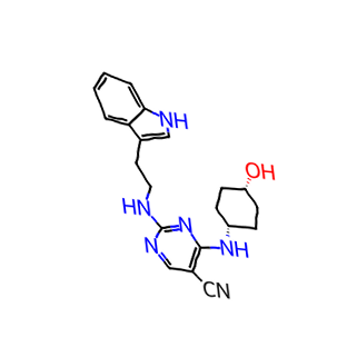 N#Cc1cnc(NCCc2c[nH]c3ccccc23)nc1N[C@H]1CC[C@@H](O)CC1